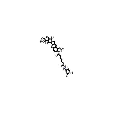 CC[C@@]1(O)C(=O)OCc2c1cc1n(c2=O)Cc2cc3c(CN(C)C)c(OC(=O)CCCCCC(=O)/N=N/c4nc(=O)[nH]cc4F)ccc3nc2-1